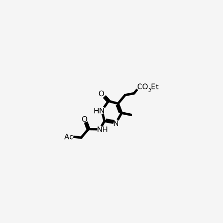 CCOC(=O)CCc1c(C)nc(NC(=O)CC(C)=O)[nH]c1=O